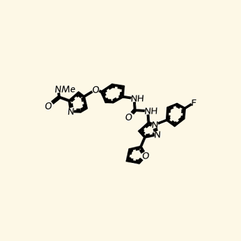 CNC(=O)c1cc(Oc2ccc(NC(=O)Nc3cc(-c4ccco4)nn3-c3ccc(F)cc3)cc2)ccn1